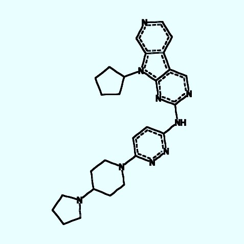 c1cc2c3cnc(Nc4ccc(N5CCC(N6CCCC6)CC5)nn4)nc3n(C3CCCC3)c2cn1